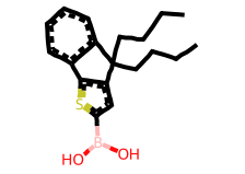 CCCCC1(CCCC)c2ccccc2-c2sc(B(O)O)cc21